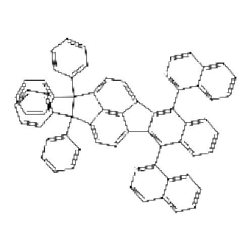 c1ccc(C2(c3ccccc3)c3ccc4c5c(ccc(c35)C2(c2ccccc2)c2ccccc2)-c2c-4c(-c3nccc4ccccc34)c3ccccc3c2-c2nccc3ccccc23)cc1